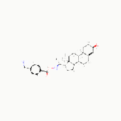 C/C(=N\OC(=O)c1ccc(CN)cc1)C1CCC2C3CCC4=CC(=O)CCC4(C)C3CCC12C